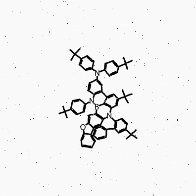 CC(C)(C)c1ccc(N2B3c4cc5oc6ccccc6c5cc4N(c4ccc(C(C)(C)C)cc4-c4ccccc4)c4cc(C(C)(C)C)cc(c43)-c3cc(N(c4ccc(C(C)(C)C)cc4)c4ccc(C(C)(C)C)cc4)ccc32)cc1